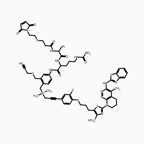 C#CCOCc1cc(NC(=O)C(CCCNC(N)=O)NC(=O)C(NC(=O)CCOCCN2C(=O)C=CC2=O)C(C)C)ccc1C[N+](C)(C)CC#Cc1ccc(OCCCc2sc(N3CCCc4c3nnc(Nc3nc5ccccc5s3)c4C)nc2C(=O)O)c(F)c1